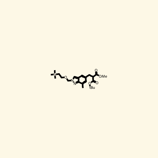 COC(=O)C(Cc1cc(C)c2nn(COCC[Si](C)(C)C)cc2c1)C(=O)OC(C)(C)C